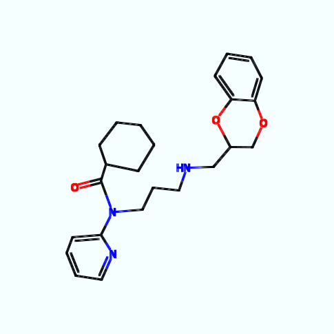 O=C(C1CCCCC1)N(CCCNCC1COc2ccccc2O1)c1ccccn1